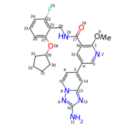 COc1ncc(-c2ccn3nc(N)nc3c2)cc1C(=O)NCc1c(F)cccc1OC1CCCC1